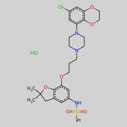 CC(C)S(=O)(=O)Nc1cc2c(c(OCCCN3CCN(c4cc(Cl)cc5c4OCCO5)CC3)c1)OC(C)(C)C2.Cl